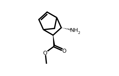 COC(=O)[C@H]1C2C=CC(C2)[C@@H]1N